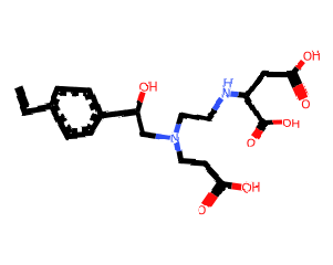 C=Cc1ccc(C(O)CN(CCNC(CC(=O)O)C(=O)O)CCC(=O)O)cc1